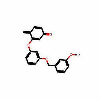 C=C1C=CC(=O)C=C1Oc1cccc(OCc2cccc(OCC)c2)c1